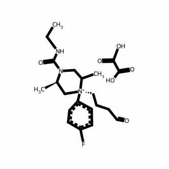 CCNC(=O)N1CC(C)[N@@+](CCCC=O)(c2ccc(F)cc2)C[C@H]1C.O=C(O)C(=O)O